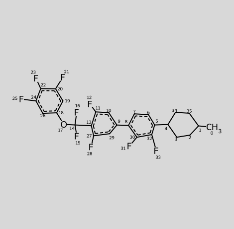 CC1CCC(c2ccc(-c3cc(F)c(C(F)(F)Oc4cc(F)c(F)c(F)c4)c(F)c3)c(F)c2F)CC1